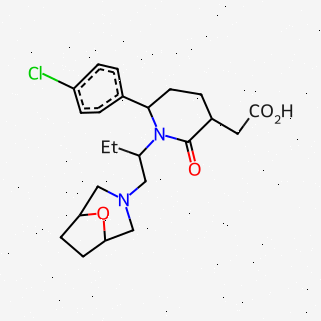 CCC(CN1CC2CCC(C1)O2)N1C(=O)C(CC(=O)O)CCC1c1ccc(Cl)cc1